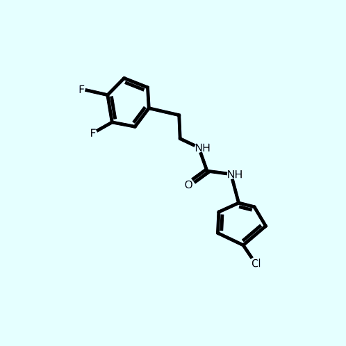 O=C(NCCc1ccc(F)c(F)c1)Nc1ccc(Cl)cc1